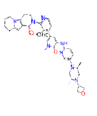 C[C@@H]1CN(c2ccc(Nc3cc(-c4ccnc(N5CCc6c(cc7n6CCCC7)C5=O)c4C=O)cn(C)c3=O)nc2)[C@@H](C)CN1C1COC1